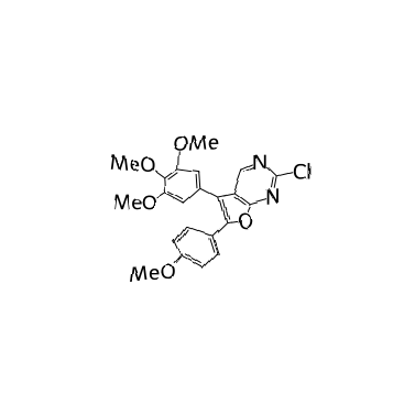 COc1ccc(-c2oc3nc(Cl)ncc3c2-c2cc(OC)c(OC)c(OC)c2)cc1